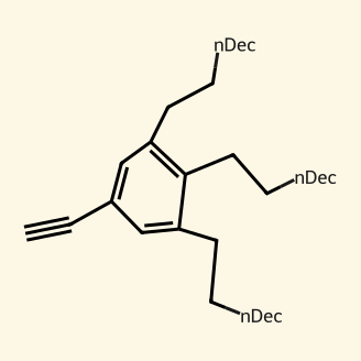 C#Cc1cc(CCCCCCCCCCCC)c(CCCCCCCCCCCC)c(CCCCCCCCCCCC)c1